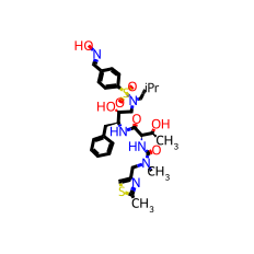 Cc1nc(CN(C)C(=O)N[C@H](C(=O)N[C@@H](Cc2ccccc2)[C@@H](O)CN(CC(C)C)S(=O)(=O)c2ccc(C=NO)cc2)[C@H](C)O)cs1